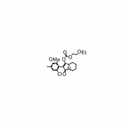 CCOCCOC(=O)OC1=C(c2c(Cl)cc(C)cc2OC)C(=O)N2CCCCC12